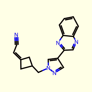 N#CC=C1CC(Cn2cc(-c3cnc4ccccc4n3)cn2)C1